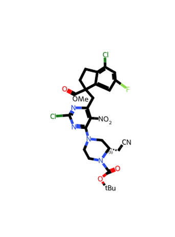 COC(=O)C1(Cc2nc(Cl)nc(N3CCN(C(=O)OC(C)(C)C)[C@@H](CC#N)C3)c2[N+](=O)[O-])CCc2c(Cl)cc(F)cc21